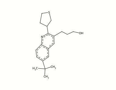 CC(C)(C)c1ccc2nc(C3CCSC3)c(CCCO)cc2c1